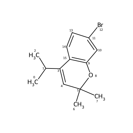 CC(C)C1=CC(C)(C)Oc2cc(Br)ccc21